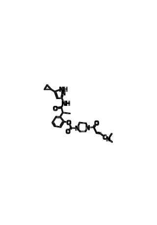 CC(C(=O)Nc1cc(C2CC2)[nH]n1)c1ccccc1OC(=O)N1CCN(C(=O)C=CCN(C)C)CC1